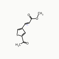 COC(=O)/C=C/c1csc(C(C)=O)c1